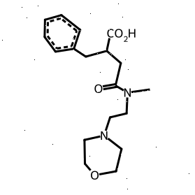 CN(CCN1CCOCC1)C(=O)CC(Cc1ccccc1)C(=O)O